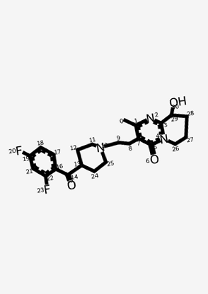 Cc1nc2n(c(=O)c1CCN1CCC(C(=O)c3ccc(F)cc3F)CC1)CCCC2O